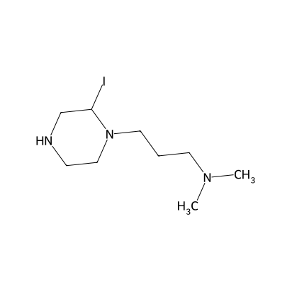 CN(C)CCCN1CCNCC1I